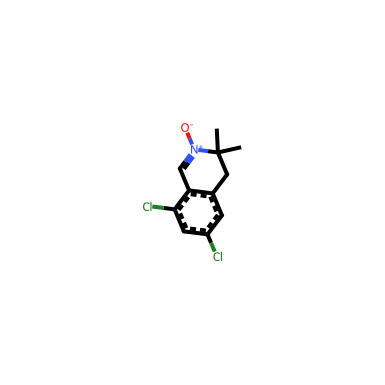 CC1(C)Cc2cc(Cl)cc(Cl)c2C=[N+]1[O-]